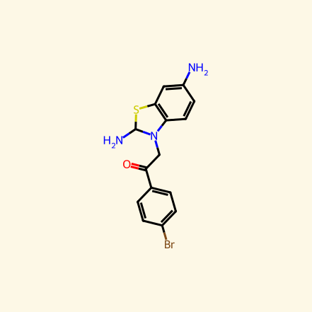 Nc1ccc2c(c1)SC(N)N2CC(=O)c1ccc(Br)cc1